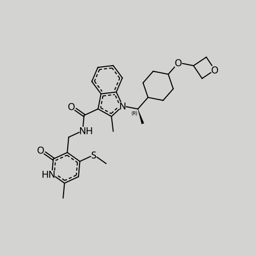 CSc1cc(C)[nH]c(=O)c1CNC(=O)c1c(C)n([C@H](C)C2CCC(OC3COC3)CC2)c2ccccc12